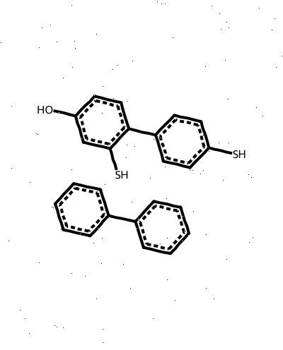 Oc1ccc(-c2ccc(S)cc2)c(S)c1.c1ccc(-c2ccccc2)cc1